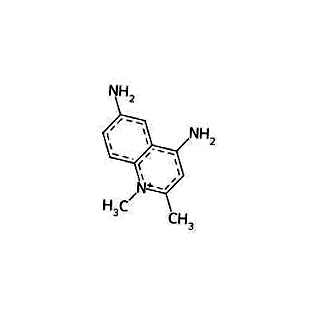 Cc1cc(N)c2cc(N)ccc2[n+]1C